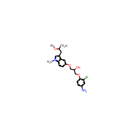 CC(C)OC(Cc1cn(C)c2ccc(OCC(O)COc3ccc(N)cc3Br)cc12)C(=O)O